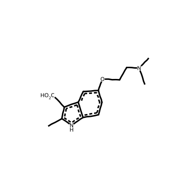 Cc1[nH]c2ccc(OCCN(C)C)cc2c1C(=O)O